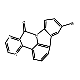 O=c1c2nccnc2c2cccc3c4cc(Br)ccc4n1c32